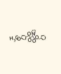 COc1ccc(C(=O)C(=O)C(C(=O)OCc2ccccc2)N2CCCC2)cc1